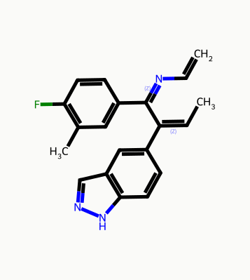 C=C/N=C(\C(=C/C)c1ccc2[nH]ncc2c1)c1ccc(F)c(C)c1